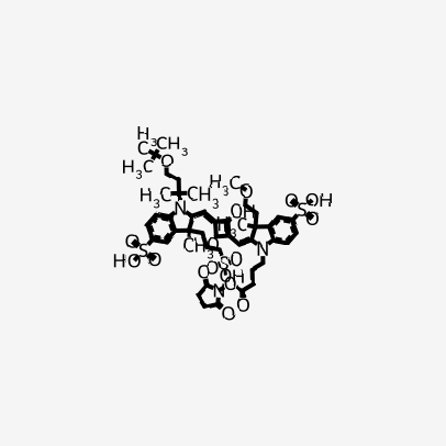 COCCC1(C)/C(=C\C2=C(O)C(=C/C3N(C(C)(C)CCOC(C)(C)C)c4ccc(S(=O)(=O)O)cc4C3(C)CCCS(=O)(=O)O)/C2=O)N(CCCC(=O)ON2C(=O)CCC2=O)c2ccc(S(=O)(=O)O)cc21